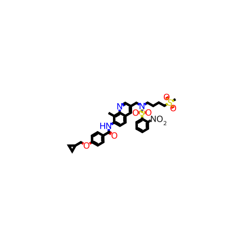 Cc1c(NC(=O)c2ccc(OCC3CC3)cc2)ccc2cc(CN(CCCCS(C)(=O)=O)S(=O)(=O)c3ccccc3[N+](=O)[O-])cnc12